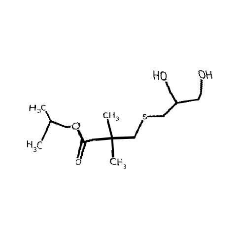 CC(C)OC(=O)C(C)(C)CSCC(O)CO